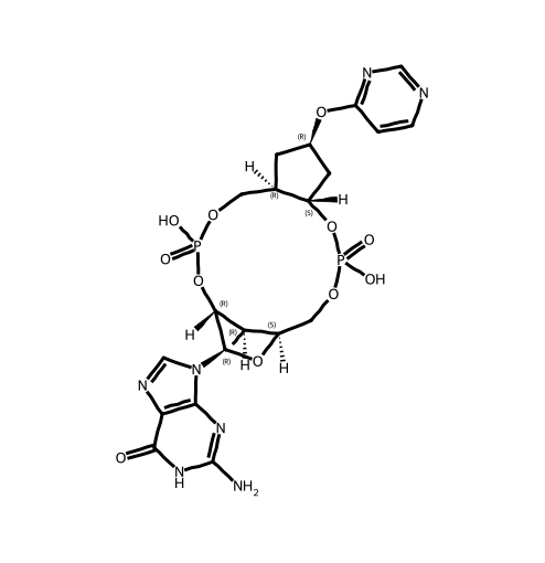 C[C@H]1[C@H]2OP(=O)(O)OC[C@H]3C[C@@H](Oc4ccncn4)C[C@@H]3OP(=O)(O)OC[C@H]1O[C@H]2n1cnc2c(=O)[nH]c(N)nc21